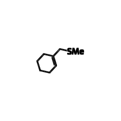 [CH2]SCC1=CCCCC1